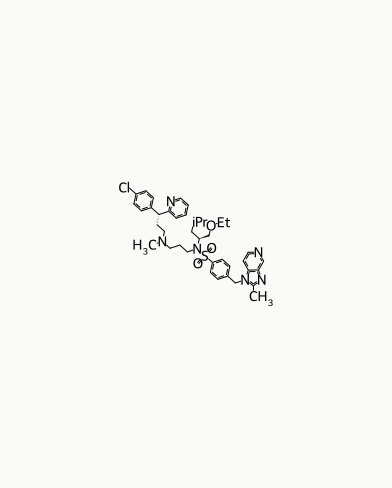 CCOC[C@H](CC(C)C)N(CCCN(C)CC[C@H](c1ccc(Cl)cc1)c1ccccn1)S(=O)(=O)c1ccc(Cn2c(C)nc3cnccc32)cc1